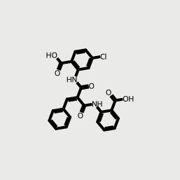 O=C(Nc1ccccc1C(=O)O)/C(=C\c1ccccc1)C(=O)Nc1cc(Cl)ccc1C(=O)O